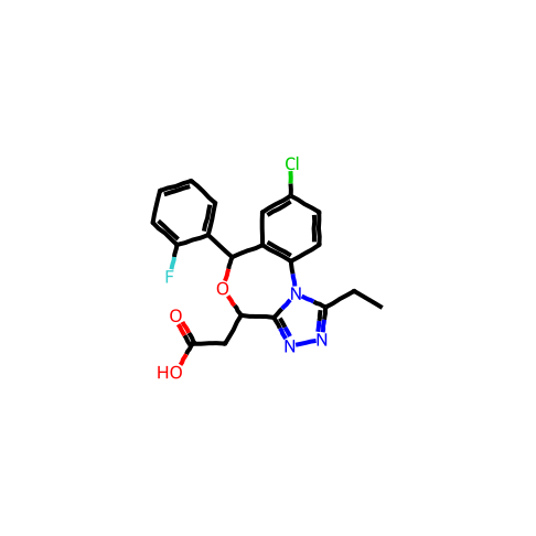 CCc1nnc2n1-c1ccc(Cl)cc1C(c1ccccc1F)OC2CC(=O)O